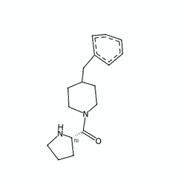 O=C([C@@H]1CCCN1)N1CCC(Cc2ccccc2)CC1